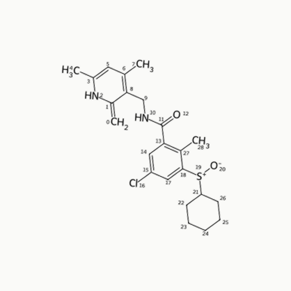 C=C1NC(C)=CC(C)=C1CNC(=O)c1cc(Cl)cc([S+]([O-])C2CCCCC2)c1C